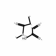 CCC(=O)OC.O=CC(=O)O